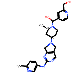 Cc1ccc(Nc2ncc3c(n2)CN([C@@H]2CCN(C(O)c4ccnc(CO)c4)[C@H](C)C2)C3)cn1